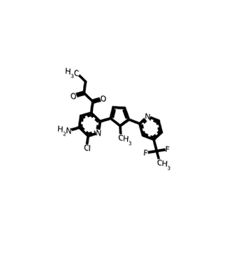 CCC(=O)C(=O)c1cc(N)c(Cl)nc1C1=CC=C(c2cc(C(C)(F)F)ccn2)C1C